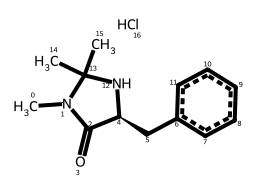 CN1C(=O)[C@H](Cc2ccccc2)NC1(C)C.Cl